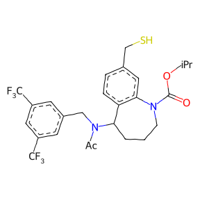 CC(=O)N(Cc1cc(C(F)(F)F)cc(C(F)(F)F)c1)C1CCCN(C(=O)OC(C)C)c2cc(CS)ccc21